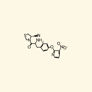 N#C[C@@H]1CSCN1C(=O)C(N)Cc1ccc(Oc2ncccc2[N+](=O)[O-])cc1